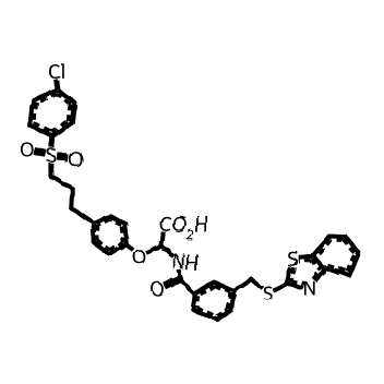 O=C(NC(Oc1ccc(CCCS(=O)(=O)c2ccc(Cl)cc2)cc1)C(=O)O)c1cccc(CSc2nc3ccccc3s2)c1